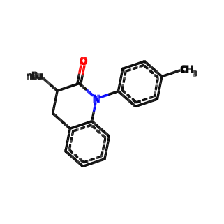 CCCCC1Cc2ccccc2N(c2ccc(C)cc2)C1=O